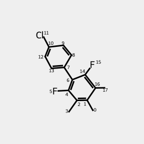 Cc1c(C)c(F)c(-c2ccc(Cl)cc2)c(F)c1C